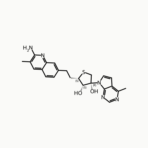 Cc1cc2ccc(CC[C@@H]3SC[C@@](O)(n4ccc5c(C)ncnc54)[C@@H]3O)cc2nc1N